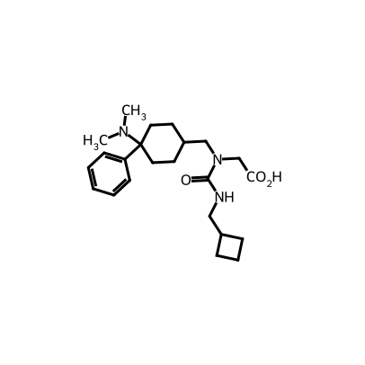 CN(C)C1(c2ccccc2)CCC(CN(CC(=O)O)C(=O)NCC2CCC2)CC1